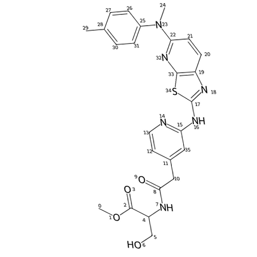 COC(=O)C(CO)NC(=O)Cc1ccnc(Nc2nc3ccc(N(C)c4ccc(C)cc4)nc3s2)c1